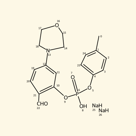 Cc1ccc(OP(=O)(O)Oc2cc(N3CCOCC3)ccc2C=O)cc1.[NaH].[NaH]